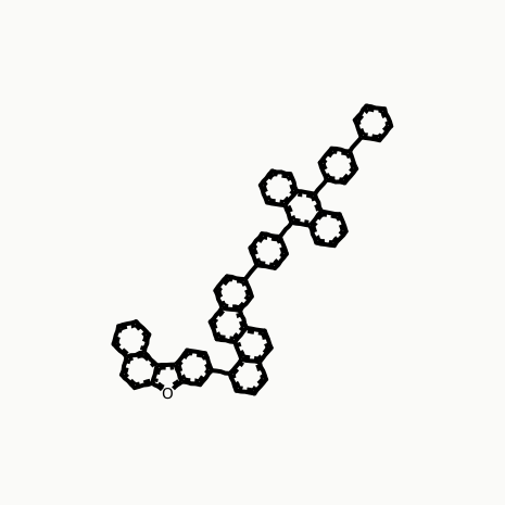 c1ccc(-c2ccc(-c3c4ccccc4c(-c4ccc(-c5ccc6ccc7c(ccc8cccc(-c9ccc%10c(c9)oc9ccc%11ccccc%11c9%10)c87)c6c5)cc4)c4ccccc34)cc2)cc1